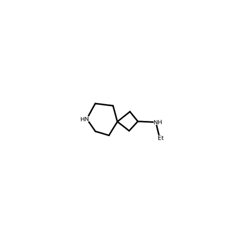 CCNC1CC2(CCNCC2)C1